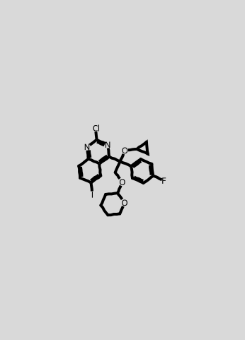 Fc1ccc(C(COC2CCCCO2)(OC2CC2)c2nc(Cl)nc3ccc(I)cc23)cc1